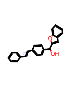 OC(c1ccc(/C=C/c2ccccc2)cc1)c1cc2ccccc2o1